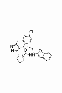 CC[C@H](NC(=O)N1CCC[C@@H]1c1nnc(C)n1Cc1ccc(Cl)cc1)c1cc2ccccc2o1